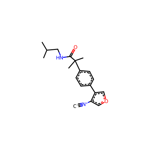 [C-]#[N+]c1cocc1-c1ccc(C(C)(C)C(=O)NCC(C)C)cc1